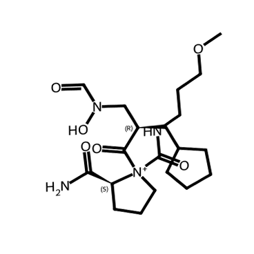 COCCCNC(=O)[N+]1(C(=O)[C@H](CC2CCCC2)CN(O)C=O)CCC[C@H]1C(N)=O